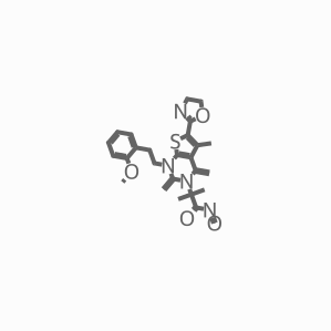 C=C1c2c(sc(C3=NCCO3)c2C)N(CCc2ccccc2OC)C(=C)N1C(C)(C)C(=O)N=O